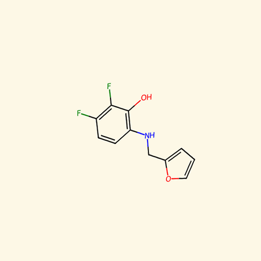 Oc1c(NCc2ccco2)ccc(F)c1F